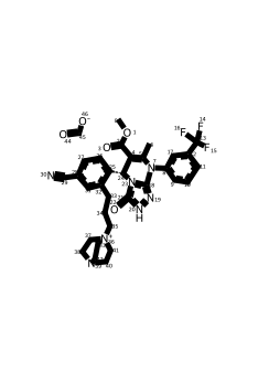 COC(=O)C1=C(C)N(c2cccc(C(F)(F)F)c2)c2n[nH]c(=O)n2[C@@H]1c1ccc(C#N)cc1CCC[N+]12CCN(CC1)CC2.O=C[O-]